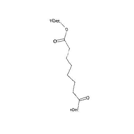 CCCCCCCCCCOC(=O)CCCCCCC(=O)CCCCCCCCCC